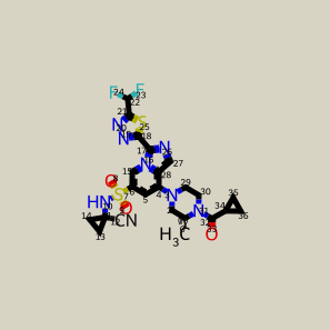 C[C@@H]1CN(c2cc(S(=O)(=O)NC3(C#N)CC3)cn3c(-c4nnc(C(F)F)s4)ncc23)CCN1C(=O)C1CC1